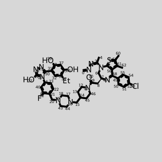 C=N/N=C(/C)N1C[C@H](CC(=O)N2CCC(CN3CCN(Cc4ccc(-n5c(O)nnc5-c5cc(CC)c(O)cc5O)cc4F)CC3)CC2)N=C(c2ccc(Cl)cc2)c2c1sc(C)c2C